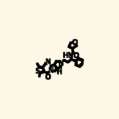 Cc1sc(C)c(C(=O)N2CC3CN(CCC(NC(=O)C4CCOC4)c4ccccc4)C[C@H]3C2)c1C#N